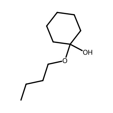 CCCCOC1(O)CCCCC1